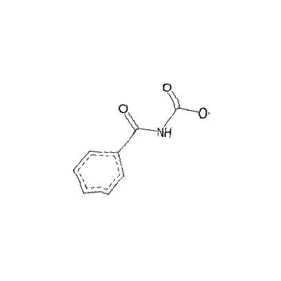 [O]C(=O)NC(=O)c1ccccc1